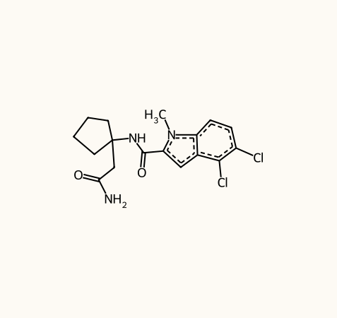 Cn1c(C(=O)NC2(CC(N)=O)CCCC2)cc2c(Cl)c(Cl)ccc21